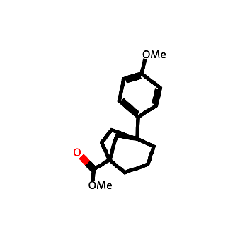 COC(=O)C12CCCC(c3ccc(OC)cc3)(CC1)C2